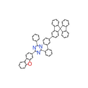 c1ccc(-c2nc(-c3ccc4c(c3)oc3ccccc34)nc(-c3ccccc3-c3cccc(-c4ccc5c(c4)-c4ccccc4C54c5ccccc5-c5ccccc54)c3)n2)cc1